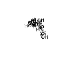 O=C(NCc1ccc(O)cc1)OCC1=C(C(=O)O)N2C(=O)[C@@H]3[C@H]2[C@H](C1)CN3C(=O)O